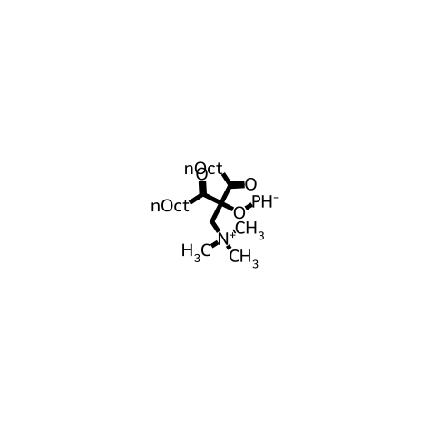 CCCCCCCCC(=O)C(C[N+](C)(C)C)(O[PH-])C(=O)CCCCCCCC